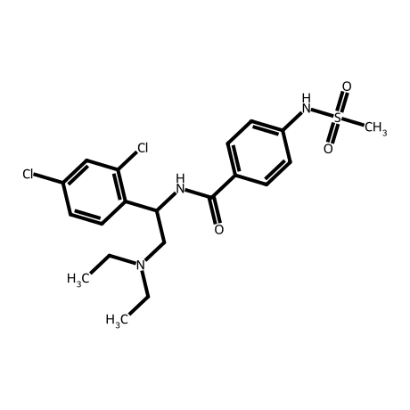 CCN(CC)CC(NC(=O)c1ccc(NS(C)(=O)=O)cc1)c1ccc(Cl)cc1Cl